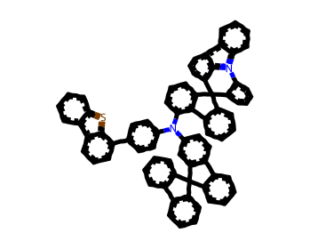 c1ccc2c(c1)-c1ccccc1C21c2ccccc2-c2ccc(N(c3ccc(-c4cccc5c4sc4ccccc45)cc3)c3cccc4c3-c3ccccc3C43c4ccccc4-n4c5ccccc5c5cccc3c54)cc21